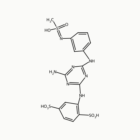 CS(=O)(O)=Nc1cccc(Nc2nc(N)nc(Nc3cc(S(=O)(=O)O)ccc3S(=O)(=O)O)n2)c1